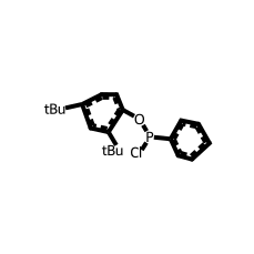 CC(C)(C)c1ccc(OP(Cl)c2ccccc2)c(C(C)(C)C)c1